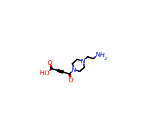 NCCN1CCN(C(=O)C#CC(=O)O)CC1